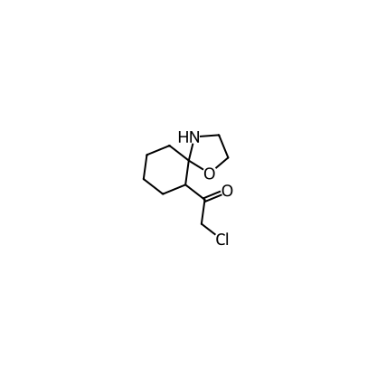 O=C(CCl)C1CCCCC12NCCO2